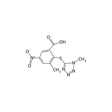 Cc1cc([N+](=O)[O-])cc(C(=O)O)c1Sc1nnnn1C